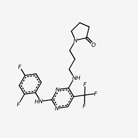 O=C1CCCN1CCCNc1nc(Nc2ccc(F)cc2F)ncc1C(F)(F)F